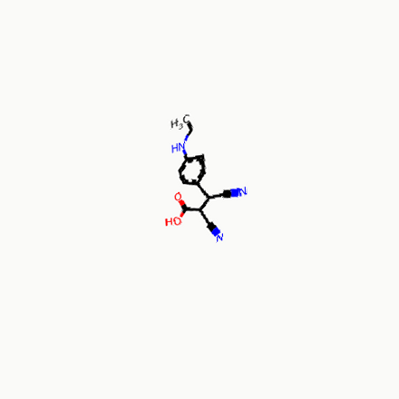 CCNc1ccc(C(C#N)C(C#N)C(=O)O)cc1